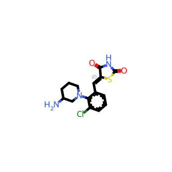 NC1CCCN(c2c(Cl)cccc2/C=C2\SC(=O)NC2=O)C1